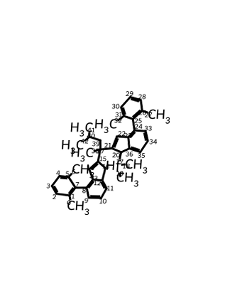 Cc1cccc(C)c1-c1cccc2c1C=C1[CH]2[Hf]([CH3])([CH3])[CH]2C(=Cc3c(-c4c(C)cccc4C)cccc32)C1(C)CC(C)C